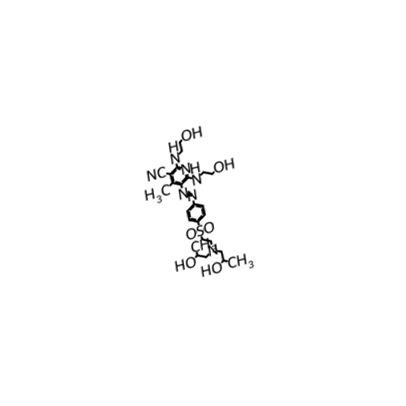 Cc1c(C#N)c(NCCO)nc(NCCO)c1/N=N/c1ccc(S(=O)(=O)CCN(CC(C)O)CC(C)O)cc1